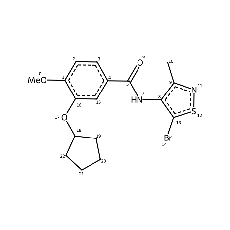 COc1ccc(C(=O)Nc2c(C)nsc2Br)cc1OC1CCCC1